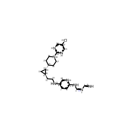 N=C/N=C\Nc1ccc(NCC[C@H]2C[C@@H]2C2CCN(c3ncc(Cl)cn3)CC2)cn1